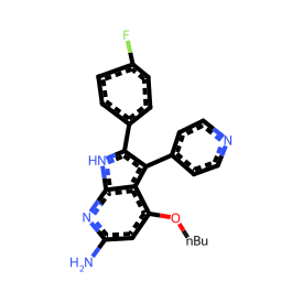 CCCCOc1cc(N)nc2[nH]c(-c3ccc(F)cc3)c(-c3ccncc3)c12